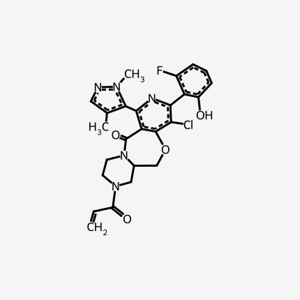 C=CC(=O)N1CCN2C(=O)c3c(-c4c(C)cnn4C)nc(-c4c(O)cccc4F)c(Cl)c3OCC2C1